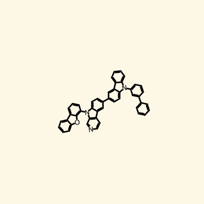 c1ccc(-c2cccc(-n3c4ccccc4c4cc(-c5ccc6c(c5)c5ccncc5n6-c5cccc6c5oc5ccccc56)ccc43)c2)cc1